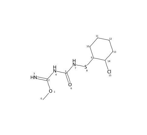 COC(=N)NC(=O)NSC1CCCCC1Cl